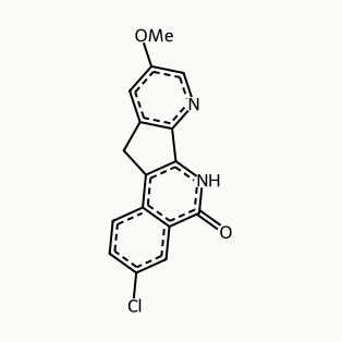 COc1cnc2c(c1)Cc1c-2[nH]c(=O)c2cc(Cl)ccc12